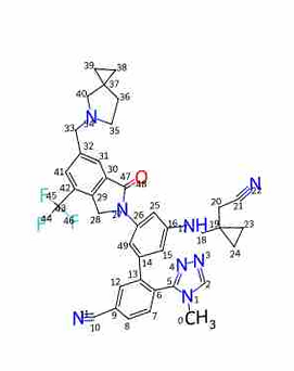 Cn1cnnc1-c1ccc(C#N)cc1-c1cc(NCC2(CC#N)CC2)cc(N2Cc3c(cc(CN4CCC5(CC5)C4)cc3C(F)(F)F)C2=O)c1